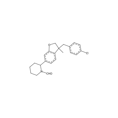 CC1(Cc2ccc(Cl)cc2)COc2cc(C3CCCCN3C=O)ccc21